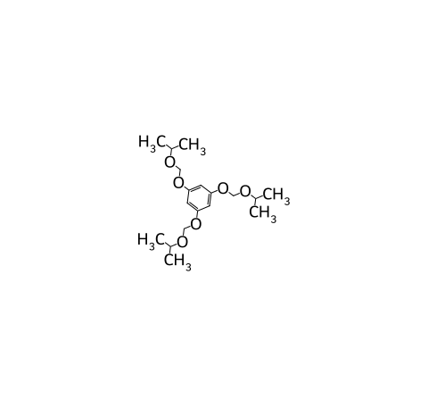 CC(C)OCOc1cc(OCOC(C)C)cc(OCOC(C)C)c1